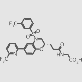 O=C(O)CNC(=O)CC[C@H]1CN(S(=O)(=O)c2cccc(C(F)(F)F)c2)c2cc(-c3cccc(C(F)(F)F)n3)ccc2O1